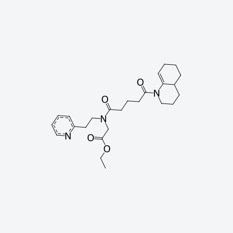 CCOC(=O)CN(CCc1ccccn1)C(=O)CCCC(=O)N1CCCC2CCCC=C21